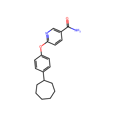 NC(=O)c1ccc(Oc2ccc(C3CCCCCC3)cc2)nc1